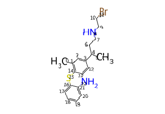 Cc1cc(C(C)CCNCCBr)ccc1Sc1ccccc1N